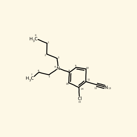 CCCCN(CCC)c1ccc(C#N)c(Cl)c1